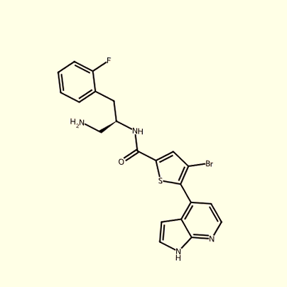 NC[C@@H](Cc1ccccc1F)NC(=O)c1cc(Br)c(-c2ccnc3[nH]ccc23)s1